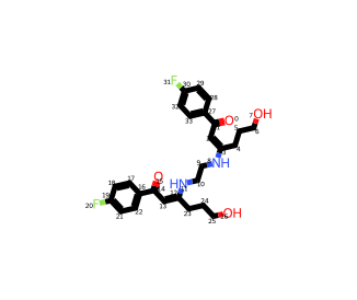 O=C(C=C(CCCO)NCCNC(=CC(=O)c1ccc(F)cc1)CCCO)c1ccc(F)cc1